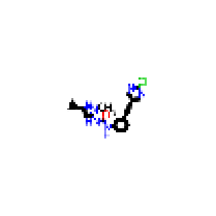 Cn1nc(C2CC2)cc1NC(=O)Nc1cccc(C#Cc2cnc(Cl)nc2)c1